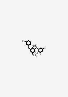 Cc1c(N)cc(Cc2cccc(Cl)c2)c(N)c1Cc1cccc(Cl)c1